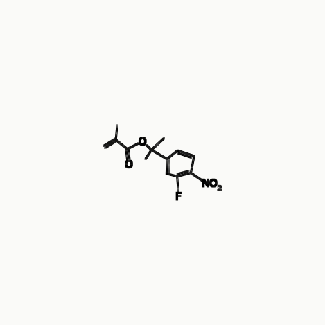 C=C(C)C(=O)OC(C)(C)c1ccc([N+](=O)[O-])c(F)c1